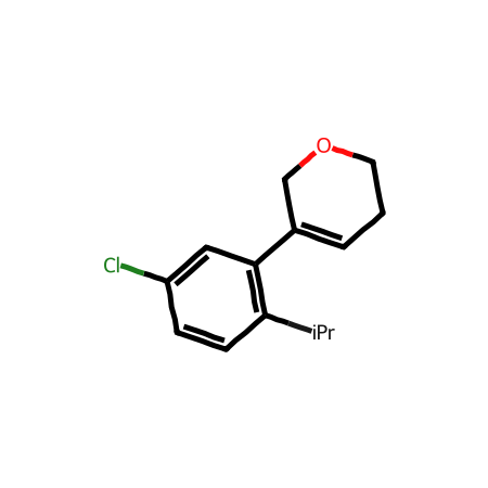 CC(C)c1ccc(Cl)cc1C1=CCCOC1